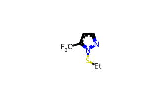 CCSn1nccc1C(F)(F)F